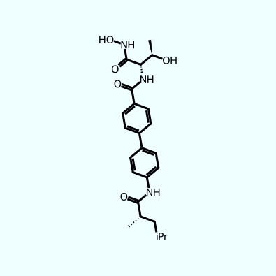 CC(C)C[C@H](C)C(=O)Nc1ccc(-c2ccc(C(=O)N[C@H](C(=O)NO)[C@@H](C)O)cc2)cc1